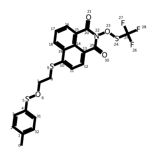 Cc1ccc(SOCCSc2ccc3c4c(cccc24)C(=O)N(OSC(F)(F)F)C3=O)cc1